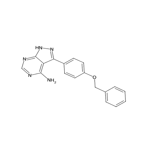 Nc1ncnc2[nH]nc(-c3ccc(OCc4ccccc4)cc3)c12